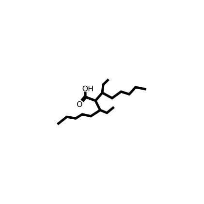 CCCCCC(CC)C(C(=O)O)C(CC)CCCCC